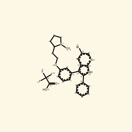 CN1CCCC1CCOc1cccc(-c2c(-c3ccccc3)[nH]c3ncc(Br)cc23)c1.O=C(O)C(F)(F)F